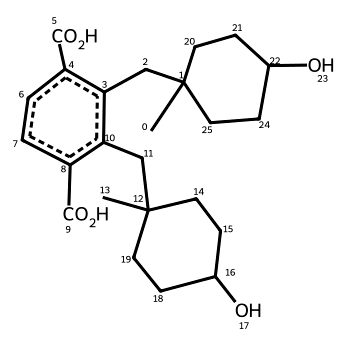 CC1(Cc2c(C(=O)O)ccc(C(=O)O)c2CC2(C)CCC(O)CC2)CCC(O)CC1